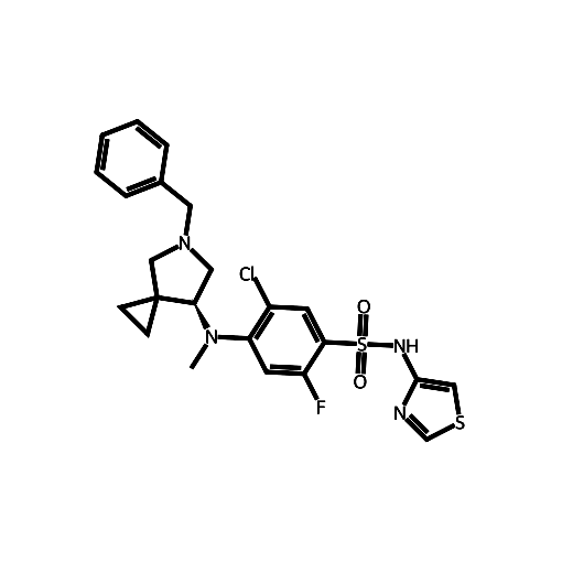 CN(c1cc(F)c(S(=O)(=O)Nc2cscn2)cc1Cl)[C@@H]1CN(Cc2ccccc2)CC12CC2